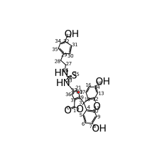 O=C1OC2(c3ccc(O)cc3Oc3cc(O)ccc32)c2ccc(NC(=S)NCCc3ccc(O)cc3)cc21